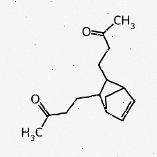 CC(=O)CCC1C2C=CC(C2)C1CCC(C)=O